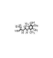 CCNC(=N)NC(=O)Nc1c(C)c(O)c(O)c(O)c1C